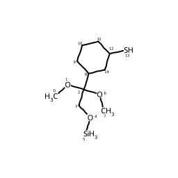 COC(CO[SiH3])(OC)C1CCCC(S)C1